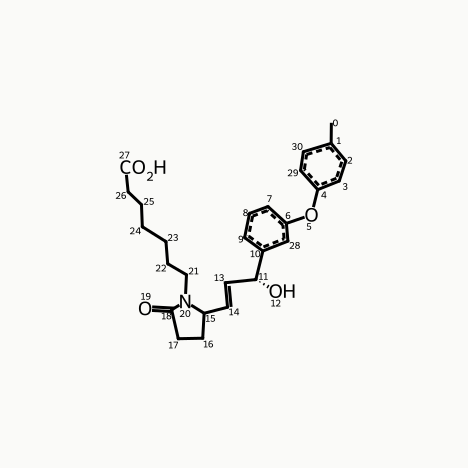 Cc1ccc(Oc2cccc([C@H](O)/C=C/C3CCC(=O)N3CCCCCCC(=O)O)c2)cc1